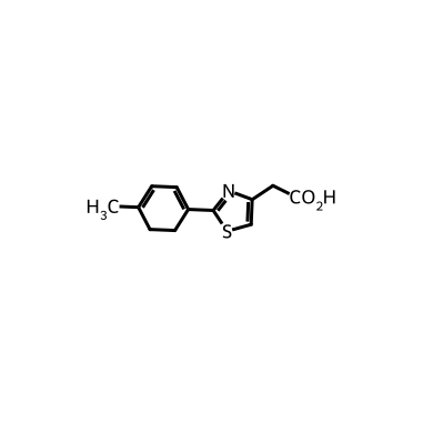 CC1=CC=C(c2nc(CC(=O)O)cs2)CC1